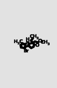 CCCC1(CC(=O)OC)CCCc2c1[nH]c1c(C)ccc(Br)c21